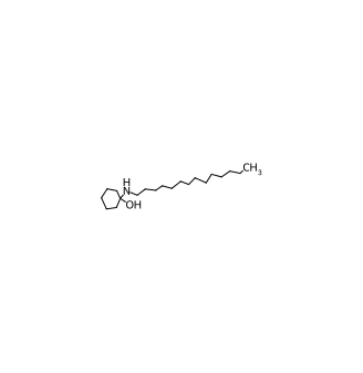 CCCCCCCCCCCCCCNC1(O)CCCCC1